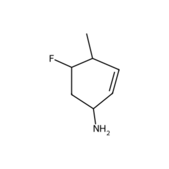 CC1C=CC(N)CC1F